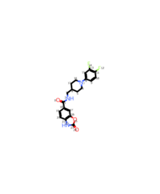 O=C(NCC1CCN(c2ccc(F)c(F)c2)CC1)c1ccc2[nH]c(=O)oc2c1